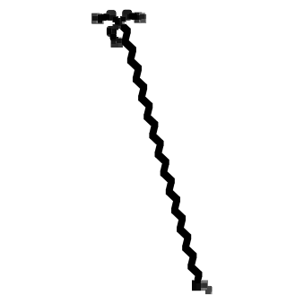 CCO[Si](CCCCCCCCCCCCCCCCCCCCCCCCCCCN)(OCC)OCC